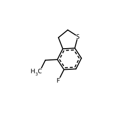 CCc1c(F)ccc2c1CCS2